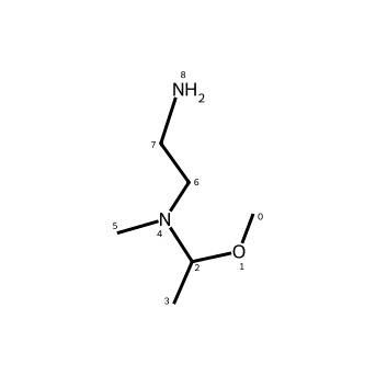 COC(C)N(C)CCN